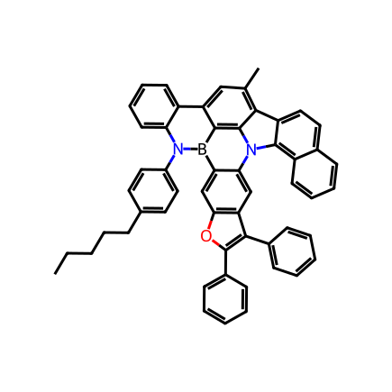 CCCCCc1ccc(N2B3c4cc5oc(-c6ccccc6)c(-c6ccccc6)c5cc4-n4c5c3c(cc(C)c5c3ccc5ccccc5c34)-c3ccccc32)cc1